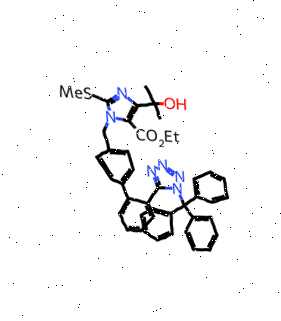 CCOC(=O)c1c(C(C)(C)O)nc(SC)n1Cc1ccc(-c2ccccc2-c2nnnn2C(c2ccccc2)(c2ccccc2)c2ccccc2)cc1